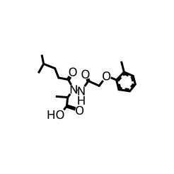 Cc1ccccc1OCC(=O)NN(C(=O)CCC(C)C)C(C)C(=O)O